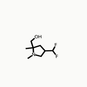 CN1CC(C(F)F)CC1(C)CO